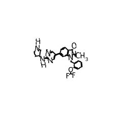 Cn1c(=O)c2ccc(-c3cnc(NC4CCNC4)nc3)cc2n1Cc1ccccc1OC(F)F